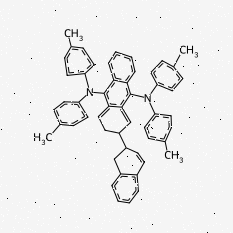 Cc1ccc(N(c2ccc(C)cc2)c2c3c(c(N(c4ccc(C)cc4)c4ccc(C)cc4)c4ccccc24)=CC(C2C=Cc4ccccc4C2)CC=3)cc1